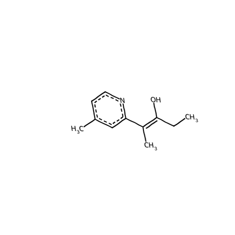 CC/C(O)=C(\C)c1cc(C)ccn1